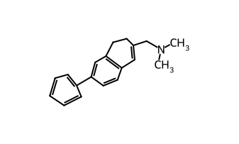 CN(C)CC1=Cc2ccc(-c3ccccc3)cc2CC1